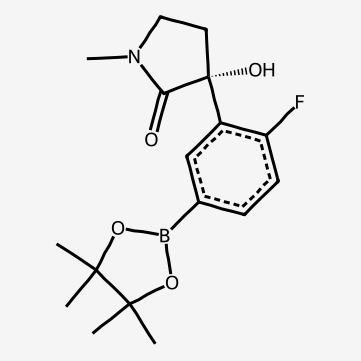 CN1CC[C@@](O)(c2cc(B3OC(C)(C)C(C)(C)O3)ccc2F)C1=O